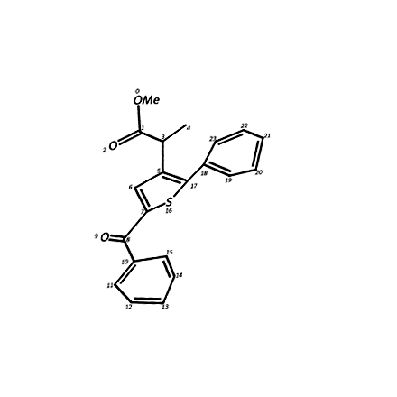 COC(=O)C(C)c1cc(C(=O)c2ccccc2)sc1-c1ccccc1